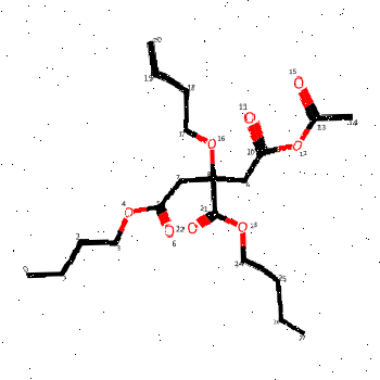 CCCCOC(=O)CC(CC(=O)OC(C)=O)(OCCCC)C(=O)OCCCC